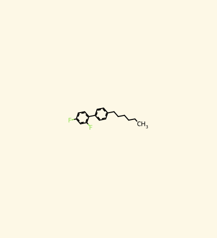 CCCCCCc1ccc(-c2ccc(F)cc2F)cc1